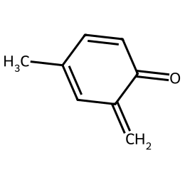 C=C1C=C(C)C=CC1=O